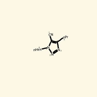 CCCCCCn1nnc(CCC)c1C#N